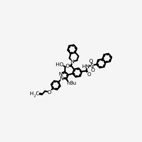 C=CCOc1ccc(-n2nc(CO)c(-c3ccc(C(=O)NS(=O)(=O)c4ccc5ccccc5c4)cc3C(=O)N3CCc4ccccc4C3)c2CCCC)cc1